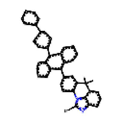 CCc1nc2cccc3c2n1-c1ccc(-c2c4ccccc4c(-c4ccc(-c5ccccc5)cc4)c4ccccc24)cc1C3(C)C